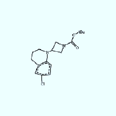 CC(C)(C)OC(=O)N1CC(N2CCCc3cc(Cl)ccc32)C1